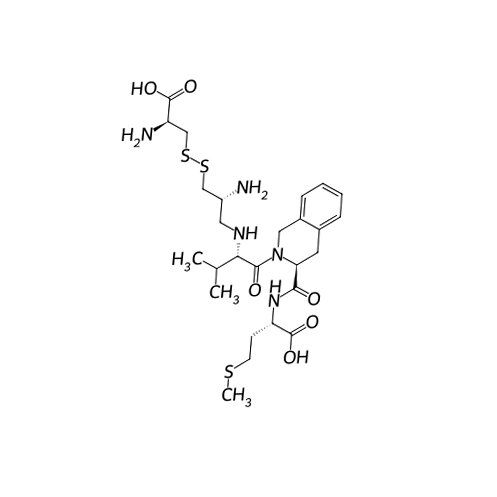 CSCC[C@H](NC(=O)[C@@H]1Cc2ccccc2CN1C(=O)[C@@H](NC[C@@H](N)CSSC[C@@H](N)C(=O)O)C(C)C)C(=O)O